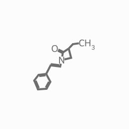 CCC1CN(C=Cc2ccccc2)C1=O